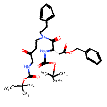 CC(C)(C)OC(=O)NCC(=O)CCN(CCc1ccccc1)C(=O)[C@H](CC(=O)OCc1ccccc1)NC(=O)OC(C)(C)C